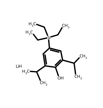 CC[Si](CC)(CC)c1cc(C(C)C)c(O)c(C(C)C)c1.[LiH]